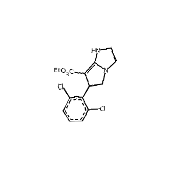 CCOC(=O)C1=C2NCCN2CC1c1c(Cl)cccc1Cl